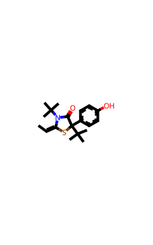 CC=C1SC(c2ccc(O)cc2)(C(C)(C)C)C(=O)N1C(C)(C)C